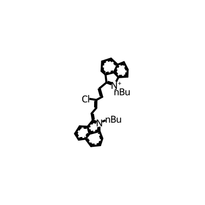 CCCCn1\c(=C/C=C(Cl)/C=C/C2=[N+](CCCC)c3cccc4cccc2c34)c2cccc3cccc1c32